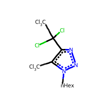 CCCCCCn1nnc(C(Cl)(Cl)C(Cl)(Cl)Cl)c1C(Cl)(Cl)Cl